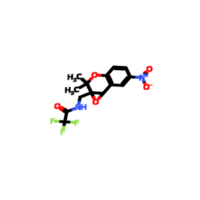 CC1(C)Oc2ccc([N+](=O)[O-])cc2C2OC21CNC(=O)C(F)(F)F